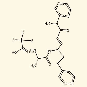 C[C@H](N)C(=O)N[C@H](/C=C/C(=O)N(C)c1ccccc1)CCc1ccccc1.O=C(O)C(F)(F)F